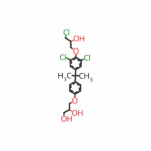 CC(C)(c1ccc(OC[C@@H](O)CO)cc1)c1cc(Cl)c(OC[C@H](O)CCl)c(Cl)c1